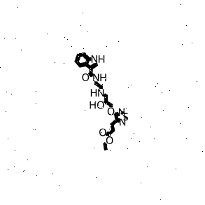 CCOC(=O)CCc1nsnc1OCC(O)CNCCNC(=O)c1c[nH]c2ccccc12